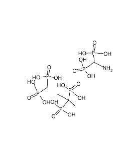 CC(C)(P(=O)(O)O)P(=O)(O)O.NC(P(=O)(O)O)P(=O)(O)O.O=P(O)(O)CP(=O)(O)O